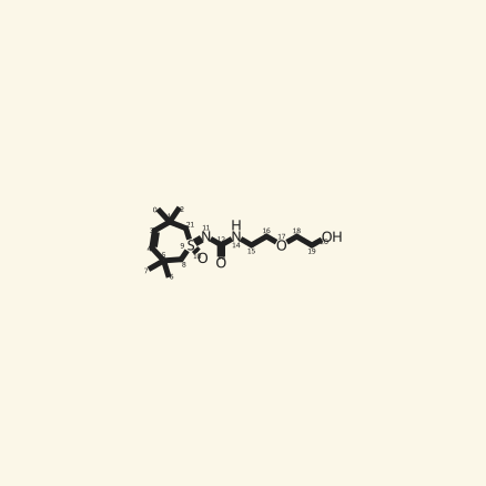 CC1(C)C=CC(C)(C)CS(=O)(=NC(=O)NCCOCCO)C1